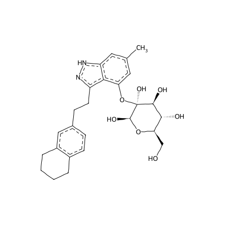 Cc1cc(O[C@]2(O)[C@H](O)O[C@H](CO)[C@@H](O)[C@@H]2O)c2c(CCc3ccc4c(c3)CCCC4)n[nH]c2c1